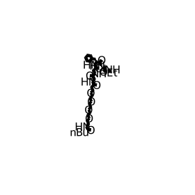 CCCCC(=O)NCCOCCOCCOCCOCCC(=O)NCC(=O)NCC(=O)N[C@@H](Cc1ccccc1)C(=O)NCC(=O)NCC